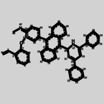 C=Cc1ccccc1On1cc(-c2c3ccccc3c(C3N=C(c4ccccc4)C=C(c4ccccc4)N3)c3ccccc23)cc/c1=N/C